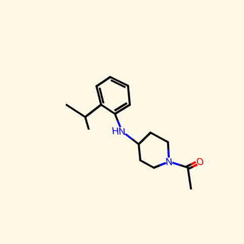 CC(=O)N1CCC(Nc2ccccc2C(C)C)CC1